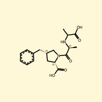 CC(N[C@@H](C)C(=O)N1C[C@@H](Cc2ccccc2)C[C@H]1C(=O)O)C(=O)O